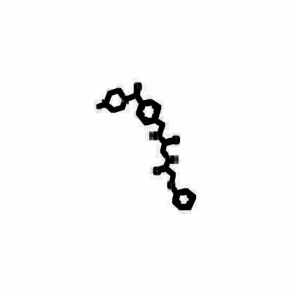 CN1CCN(C(=O)c2ccc(CNC(=O)CNC(=O)COc3ccccc3)cc2)CC1